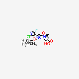 C[Si](C)(C)CCOCn1nc(C(=O)N2CCC(C(=O)O)CC23CC3)cc1-c1cc(Cl)ncc1F